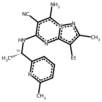 CCc1c(C)nn2c(N)c(C#N)c(N[C@@H](C)c3cccc(C)n3)nc12